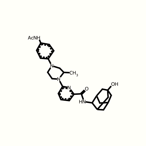 CC(=O)Nc1ccc(N2CCN(c3cccc(C(=O)NC4C5CC6CC4CC(O)(C6)C5)n3)C(C)C2)cc1